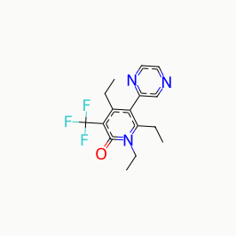 CCc1c(-c2cnccn2)c(CC)n(CC)c(=O)c1C(F)(F)F